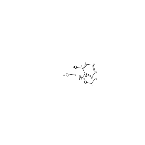 CC[O].C[O].[O]c1ccccc1Cl